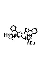 CCCCc1cn(-c2ccccc2CC)c(=O)n1Cc1ccc(-c2ccccc2-c2nnn[nH]2)nc1